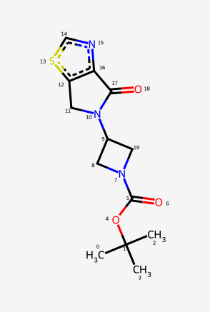 CC(C)(C)OC(=O)N1CC(N2Cc3scnc3C2=O)C1